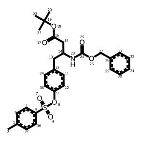 Cc1ccc(S(=O)(=O)Oc2ccc(CC(CC(=O)OC(C)(C)C)NC(=O)OCc3ccccc3)cc2)cc1